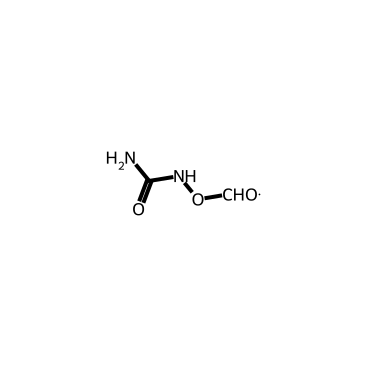 NC(=O)NO[C]=O